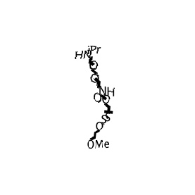 COCCCCOCSSC(C)(C)CCOC(=O)NCCOCCOCCNC(C)C